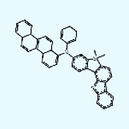 C[Si]1(C)c2cc(N(C3=CCCC=C3)C3=CC=CC4C5=C(C=CC34)C3C=CC=CC3C=C5)ccc2-c2c1ccc1c2sc2ccccc21